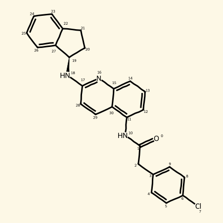 O=C(Cc1ccc(Cl)cc1)Nc1cccc2nc(N[C@@H]3CCc4ccccc43)ccc12